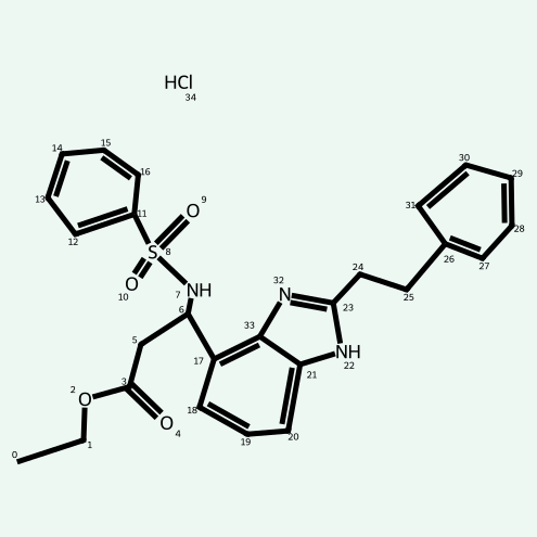 CCOC(=O)CC(NS(=O)(=O)c1ccccc1)c1cccc2[nH]c(CCc3ccccc3)nc12.Cl